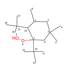 CC1CC(C)(C)CC(OO)(C(C)(C)C)C1C(C)(C)C